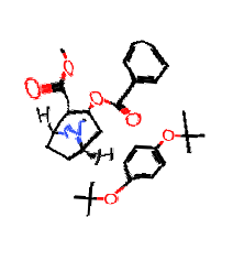 CC(C)(C)Oc1ccc(OC(C)(C)C)cc1.COC(=O)[C@H]1[C@@H](OC(=O)c2ccccc2)C[C@@H]2CC[C@H]1N2C